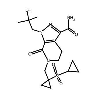 CC(C)(O)Cn1nc(C(N)=O)c2c1C(=O)N(CC1(S(=O)(=O)C3CC3)CC1)CC2